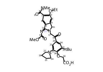 CCOc1cc2c(cc1C(=O)NC)/C(=N/C(=O)OC)N(CC(=O)c1cc(N3CCCC3)c(OCC(=O)O)c(C(C)(C)C)c1)C2